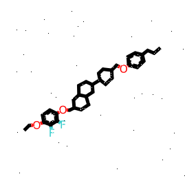 CCCc1ccc(OCC2CCC(C3CCC4CC(COc5ccc(OCC)c(F)c5F)CCC4C3)CC2)cc1